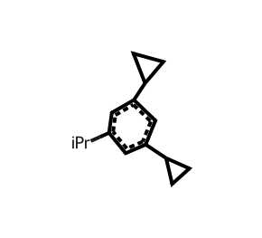 [CH2]C(C)c1cc(C2CC2)cc(C2CC2)c1